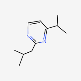 CC(C)Cc1n[c]cc(C(C)C)n1